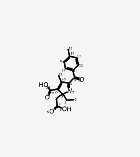 CCC1(CC(=O)O)N=C(C(=O)c2ccc(C)cc2)C(C)=C1C(=O)O